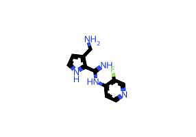 N=C(Nc1ccncc1F)c1[nH]ccc1CN